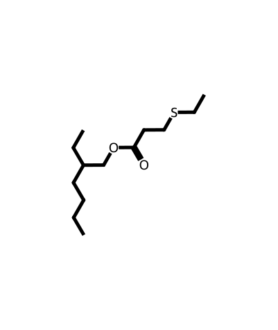 CCCCC(CC)COC(=O)CCSCC